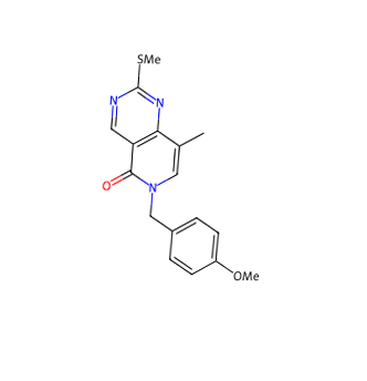 COc1ccc(Cn2cc(C)c3nc(SC)ncc3c2=O)cc1